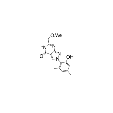 COCc1nc2nn(-c3c(C)cc(C)cc3O)cc2c(=O)n1C